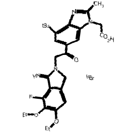 Br.CCOc1cc2c(c(F)c1OCC)C(=N)N(CC(=O)c1cc(C(C)(C)C)c3nc(C)n(CC(=O)O)c3c1)C2